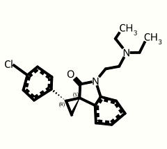 CCN(CC)CCN1C(=O)[C@]2(C[C@@H]2c2ccc(Cl)cc2)c2ccccc21